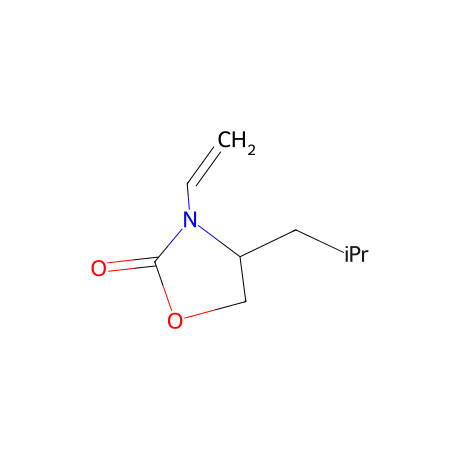 C=CN1C(=O)OCC1CC(C)C